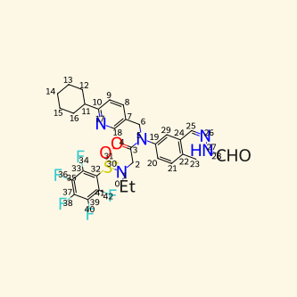 CCN(CC(=O)N(Cc1ccc(C2CCCCC2)nc1)c1ccc(C)c(/C=N\NC=O)c1)[S+]([O-])c1c(F)c(F)c(F)c(F)c1F